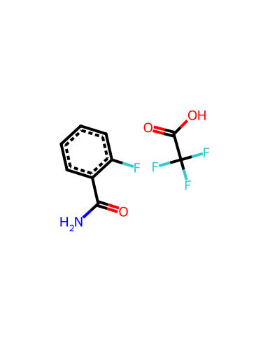 NC(=O)c1ccccc1F.O=C(O)C(F)(F)F